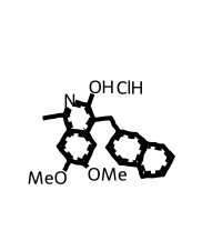 COc1cc2c(C)nc(O)c(Cc3ccc4ccccc4c3)c2cc1OC.Cl